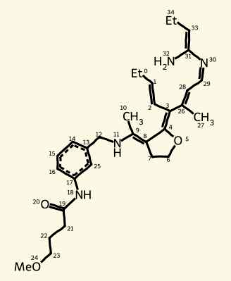 CC/C=C/C(=C1/OCC/C1=C(/C)NCc1cccc(NC(=O)CCCOC)c1)C(/C)=C/C=N\C(N)=C\CC